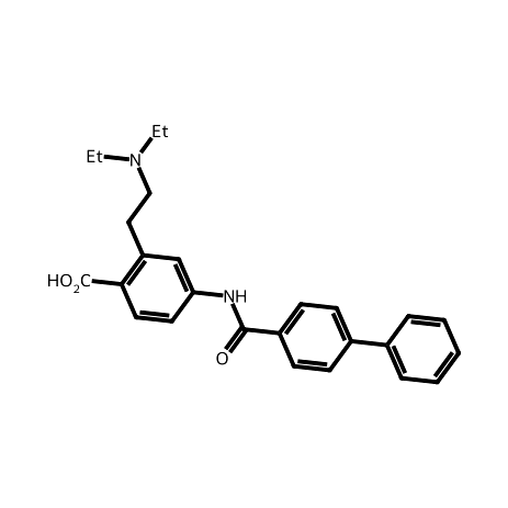 CCN(CC)CCc1cc(NC(=O)c2ccc(-c3ccccc3)cc2)ccc1C(=O)O